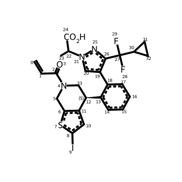 C=CC(=O)N1Cc2sc(I)cc2[C@H](c2ccccc2-c2cn(C(C)C(=O)O)nc2C(F)(F)C2CC2)C1